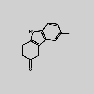 O=C1CCc2[nH]c3ccc(F)cc3c2C1